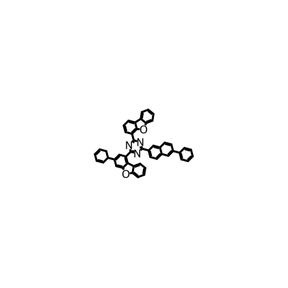 C1=CCC(c2cc(-c3nc(-c4ccc5cc(-c6ccccc6)ccc5c4)nc(-c4cccc5c4oc4ccccc45)n3)c3c(c2)oc2ccccc23)C=C1